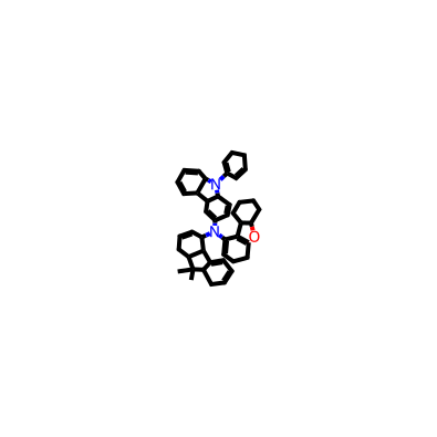 CC1(C)C2CC=CC=C2C2C(N(C3=CC4C5C=CC=CC5N(C5=CCCC=C5)C4C=C3)C3=CCCC4=C3C3CCCCC3O4)C=CCC21